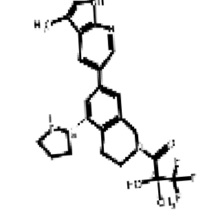 Cc1c[nH]c2ncc(-c3cc4c(c([C@@H]5CCCN5)c3)CCN(C(=O)[C@@](C)(O)C(F)(F)F)C4)cc12